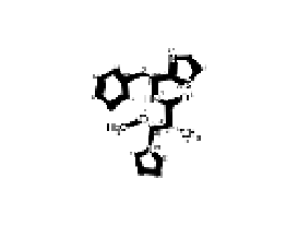 CO[C@H]([C@@H](C)C(=O)N[C@@H](Cc1ccccc1)c1nccs1)N1CCCC1